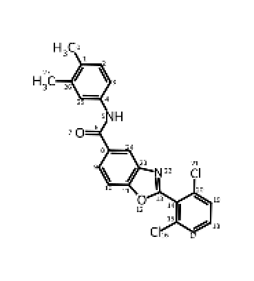 Cc1ccc(NC(=O)c2ccc3oc(-c4c(Cl)cccc4Cl)nc3c2)cc1C